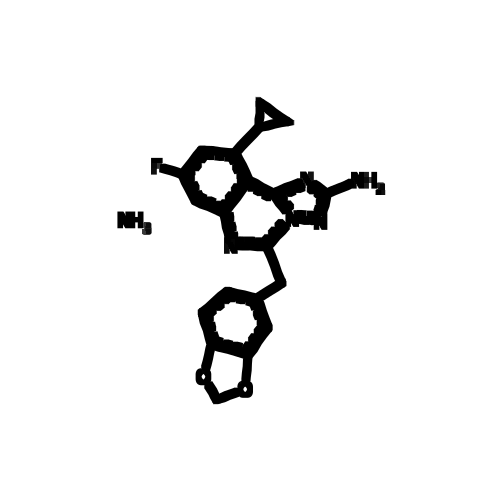 N.Nc1nc2c3c(C4CC4)cc(F)cc3nc(Cc3ccc4c(c3)OCO4)n2n1